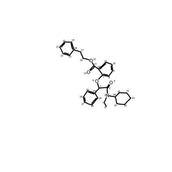 CCN(C(=O)C(Oc1ccccc1C(=O)OCCc1ccccc1)c1ccccc1)C1CCCCC1